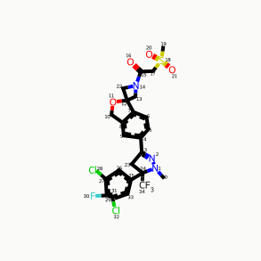 CN1N=C(c2ccc3c(c2)COC32CN(C(=O)CS(C)(=O)=O)C2)CC1(c1cc(Cl)c(F)c(Cl)c1)C(F)(F)F